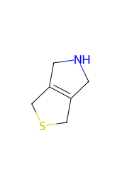 C1NCC2=C1CSC2